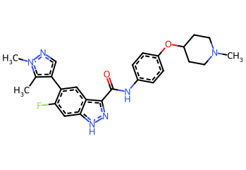 Cc1c(-c2cc3c(C(=O)Nc4ccc(OC5CCN(C)CC5)cc4)n[nH]c3cc2F)cnn1C